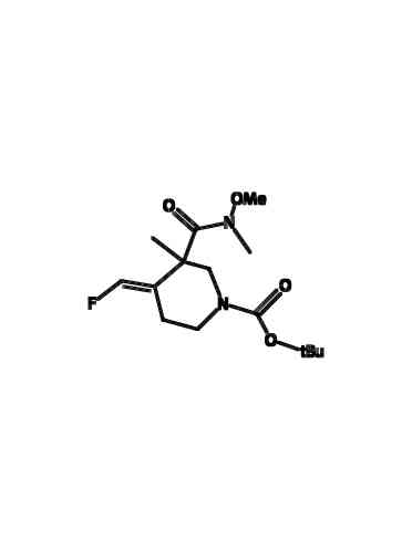 CON(C)C(=O)C1(C)CN(C(=O)OC(C)(C)C)CC/C1=C\F